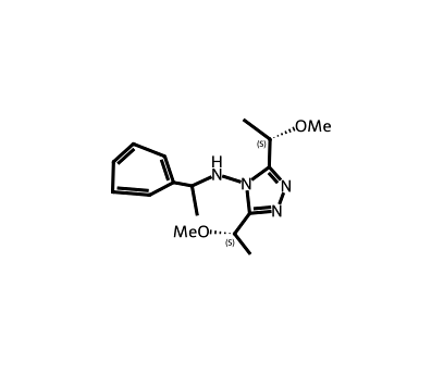 CO[C@@H](C)c1nnc([C@H](C)OC)n1NC(C)c1ccccc1